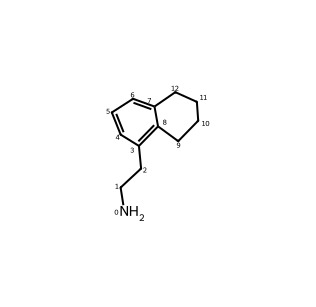 NCCc1cccc2c1CCCC2